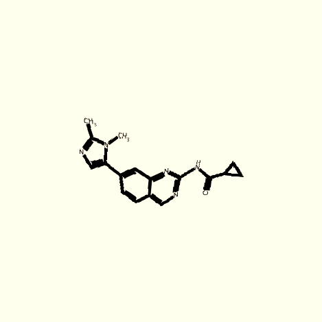 Cc1ncc(-c2ccc3cnc(NC(=O)C4CC4)nc3c2)n1C